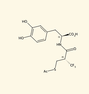 CC(=O)SC[C@H](C(=O)N[C@@H](Cc1ccc(O)c(O)c1)C(=O)O)C(F)(F)F